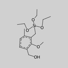 CCO[Si](Cc1c(C)ccc(CO)c1OC)(OCC)OCC